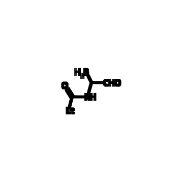 BC(C=O)NC(=O)CC